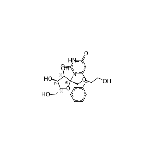 O=c1cc(Sc2ccccc2)n([C@]2(COCCO)O[C@H](CO)[C@@H](O)[C@H]2O)c(=O)[nH]1